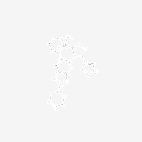 NC(=O)C1=CSC(c2cn[nH]c2)N1c1cc2oc(N3CCOCC3)nc2cc1N1CCCCC1